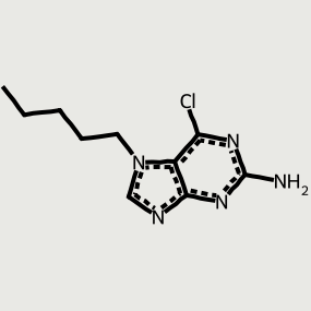 CCCCCn1cnc2nc(N)nc(Cl)c21